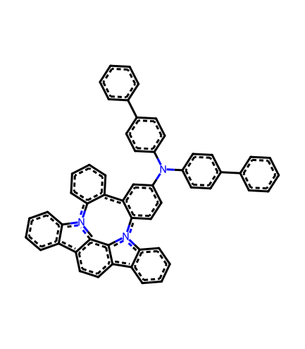 c1ccc(-c2ccc(N(c3ccc(-c4ccccc4)cc3)c3ccc4c(c3)c3ccccc3n3c5ccccc5c5ccc6c7ccccc7n4c6c53)cc2)cc1